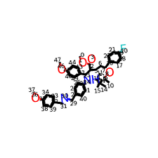 COC(=O)C(CCC(O[Si](C)(C)C(C)(C)C)c1ccc(F)cc1)[C@H](Nc1ccc(C/N=C/c2ccc(OC)cc2)cc1)c1ccc(OC)cc1